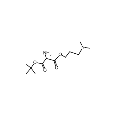 CN(C)CCCOC(=O)C(N)C(=O)OC(C)(C)C